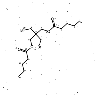 CCCCC(=O)OCC(CBr)(CBr)COC(=O)CCCC